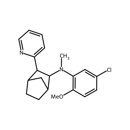 COc1ccc(Cl)cc1N(C)C1C2CCC(C2)C1c1ccccn1